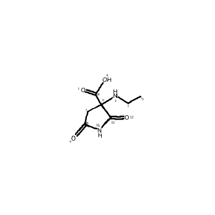 CCNC1(C(=O)O)CC(=O)NC1=O